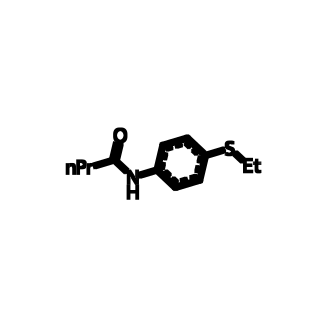 CCCC(=O)Nc1ccc(SCC)cc1